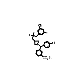 CCOC(=O)c1cccc(C(c2ccc(Cl)cc2)N2CC(CC(C)(F)Cc3cc(F)cc(C#N)c3)C2)c1